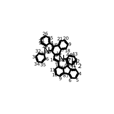 C=C1c2ccccc2-c2cccc(-c3cc4c(c5ccccc5c5c6ccccc6n(-c6ccccc6)c45)n3-c3ccccc3)c21